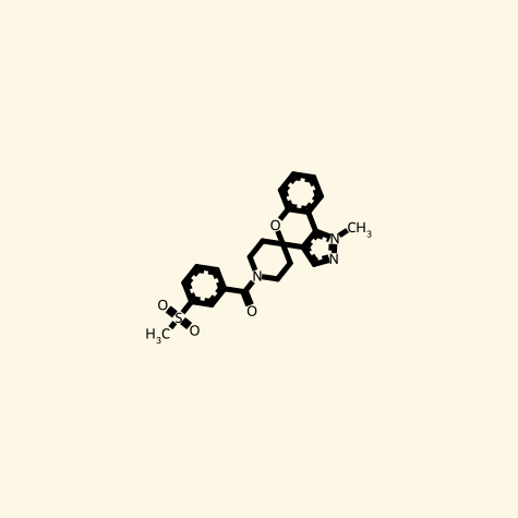 Cn1ncc2c1-c1ccccc1OC21CCN(C(=O)c2cccc(S(C)(=O)=O)c2)CC1